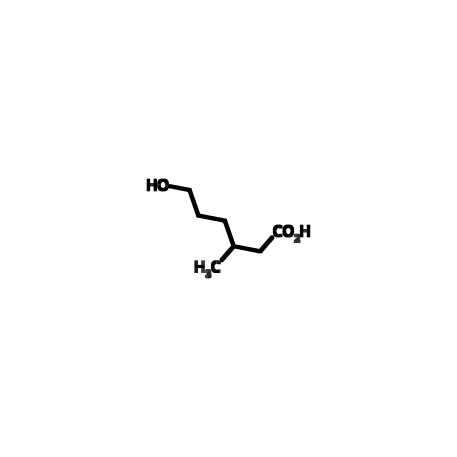 CC(CCCO)CC(=O)O